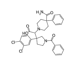 NC(=O)C1(c2ccccc2)CCN(C(C(=O)O)C2(c3ccc(Cl)c(Cl)c3)CCN(C(=O)c3ccccc3)C2)CC1